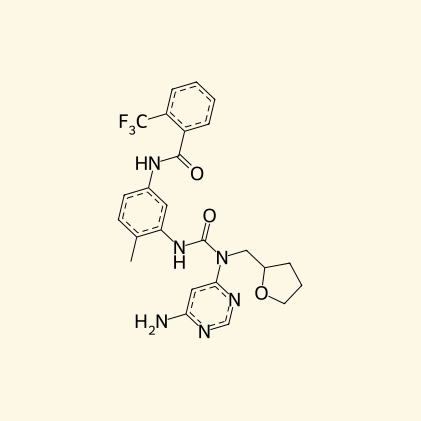 Cc1ccc(NC(=O)c2ccccc2C(F)(F)F)cc1NC(=O)N(CC1CCCO1)c1cc(N)ncn1